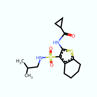 CC(C)CNS(=O)(=O)c1c(NC(=O)C2CC2)sc2c1CCCC2